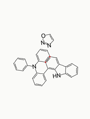 c1ccc(N(c2ccccc2)c2ccccc2-c2cccc3c2[nH]c2ccccc23)cc1.c1conn1